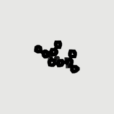 C1=CC(n2c3ccc(-c4ccccc4)cc3c3cc(-c4ccccc4)ccc32)=C2Oc3cc(-c4nc(-c5ccccc5)cc(-c5ccccc5)n4)ccc3C2C1